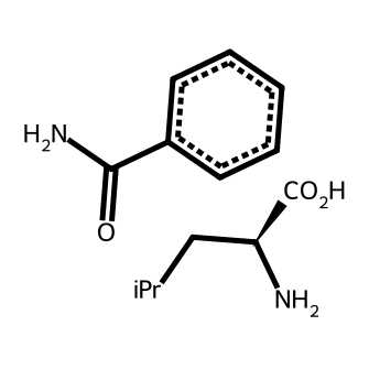 CC(C)C[C@H](N)C(=O)O.NC(=O)c1ccccc1